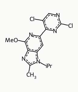 COc1nc(-c2nc(Cl)ncc2Cl)cc2c1nc(C)n2C(C)C